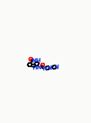 O=C(CN1CCN(c2ccncc2)CC1)Nc1ccc2[nH]c(=O)c3cccc4c3c2c1C4